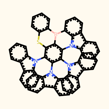 c1ccc2c(c1)Sc1c3c(c(-n4c5ccccc5c5ccccc54)c(-n4c5ccccc5c5ccccc54)c1-n1c4ccccc4c4ccccc41)-n1c4ccccc4c4cccc(c41)B23